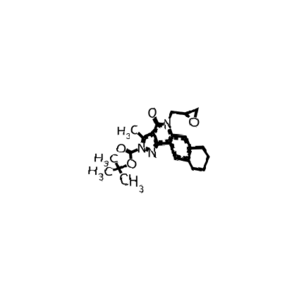 Cc1c2c(=O)n(CC3CO3)c3cc4c(cc3c2nn1C(=O)OC(C)(C)C)CCCC4